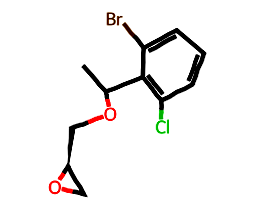 CC(OC[C@H]1CO1)c1c(Cl)cccc1Br